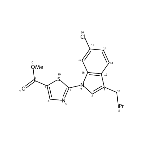 COC(=O)c1cnc(-n2cc(CC(C)C)c3ccc(Cl)cc32)s1